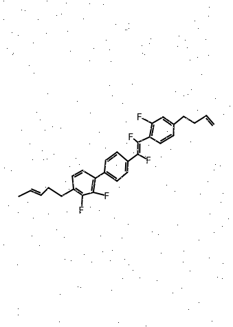 C=CCCc1ccc(/C(F)=C(\F)c2ccc(-c3ccc(CC/C=C/C)c(F)c3F)cc2)c(F)c1